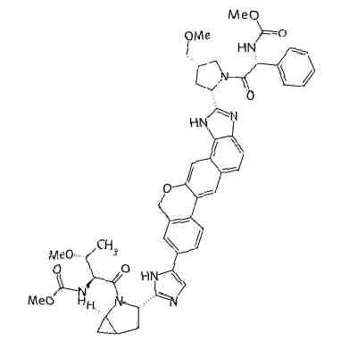 COC[C@H]1C[C@@H](c2nc3ccc4cc5c(cc4c3[nH]2)OCc2cc(-c3cnc([C@@H]4CC6C[C@H]6N4C(=O)[C@@H](NC(=O)OC)[C@@H](C)OC)[nH]3)ccc2-5)N(C(=O)[C@H](NC(=O)OC)c2ccccc2)C1